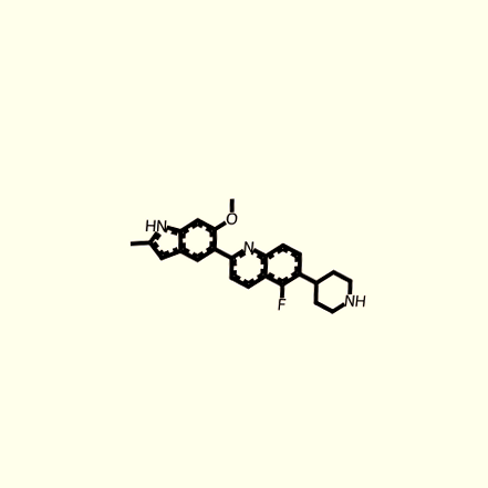 COc1cc2[nH]c(C)cc2cc1-c1ccc2c(F)c(C3CCNCC3)ccc2n1